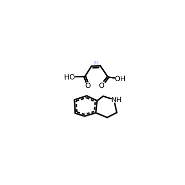 O=C(O)/C=C\C(=O)O.c1ccc2c(c1)CCNC2